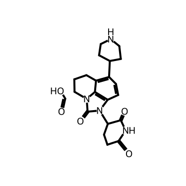 O=C1CCC(n2c(=O)n3c4c(c(C5CCNCC5)ccc42)CCC3)C(=O)N1.O=CO